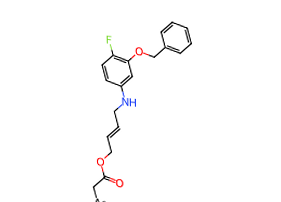 CC(=O)CC(=O)OCC=CCNc1ccc(F)c(OCc2ccccc2)c1